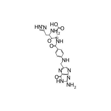 Nc1nc2ncc(CNc3ccc(C(=O)N[C@@H](CCC(=O)O)C(=O)C(N)Cc4c[nH]cn4)cc3)nc2c(=O)[nH]1